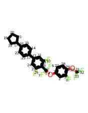 Fc1cc(OC(F)(F)c2c(F)cc(-c3ccc(C4CCCC4)cc3)cc2F)ccc1OC(F)F